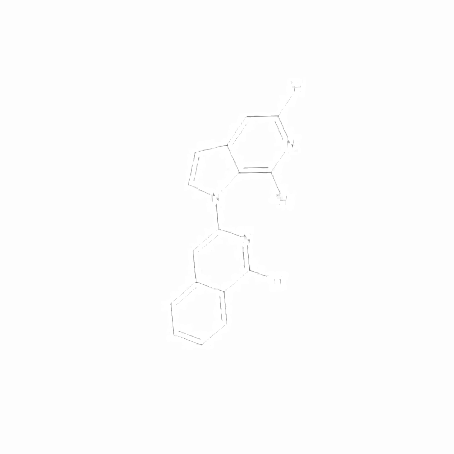 [3H]c1cc2ccn(-c3cc4ccccc4c([3H])n3)c2c([3H])n1